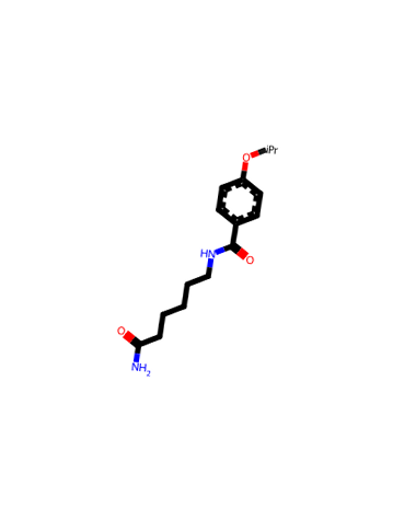 CC(C)Oc1ccc(C(=O)NCCCCCC(N)=O)cc1